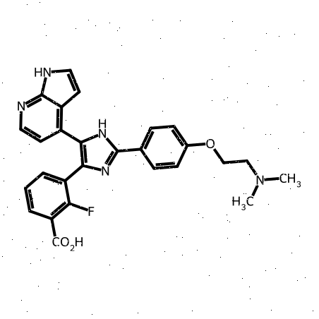 CN(C)CCOc1ccc(-c2nc(-c3cccc(C(=O)O)c3F)c(-c3ccnc4[nH]ccc34)[nH]2)cc1